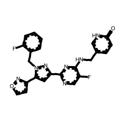 O=c1ccc(CNc2nc(-c3cc(-c4ccon4)n(Cc4ccccc4F)n3)ncc2F)c[nH]1